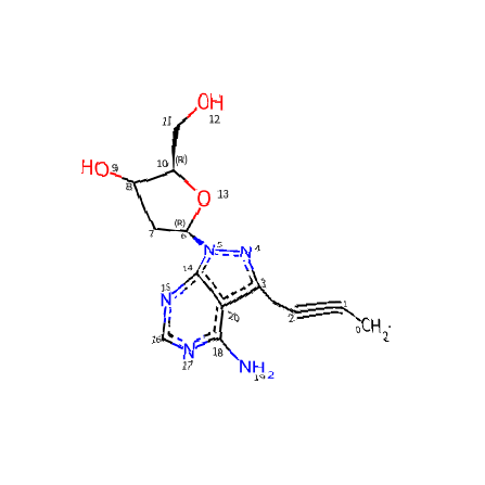 [CH2]C#Cc1nn([C@H]2CC(O)[C@@H](CO)O2)c2ncnc(N)c12